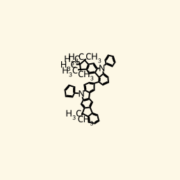 CC1(C)c2ccccc2-c2cc3c4cc(-c5cccc6c5c5cc7c(cc5n6-c5ccccc5)C(C)(C)C(C)(C)C7(C)C)ccc4n(-c4ccccc4)c3cc21